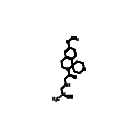 COc1ccc2c(c1)CCN(C(=O)CNC[C@@H](C)O)C21CCOCC1